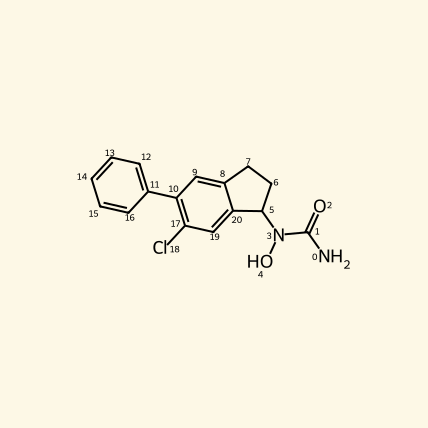 NC(=O)N(O)C1CCc2cc(-c3ccccc3)c(Cl)cc21